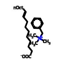 CCCCCCCCC=CCCCCCCCC(=O)[O-].C[N+](C)(C)Cc1ccccc1